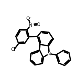 O=[N+]([O-])c1ccc(Cl)cc1-c1cccc2c1c1ccccc1n2-c1ccccc1